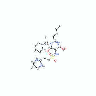 CCCCc1nc(O)c(NS(=O)(=O)CCc2ncc(C)cn2)c(=O)n1[C@@H](C)c1ccccc1